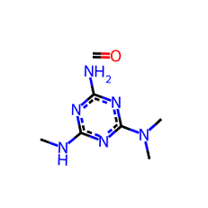 C=O.CNc1nc(N)nc(N(C)C)n1